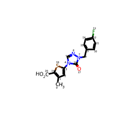 Cc1cc(-n2cnn(Cc3ccc(F)cc3)c2=O)sc1C(=O)O